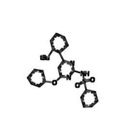 CC(C)(C)c1ccccc1-c1cc(Oc2ccccc2)nc(NS(=O)(=O)c2ccccc2)n1